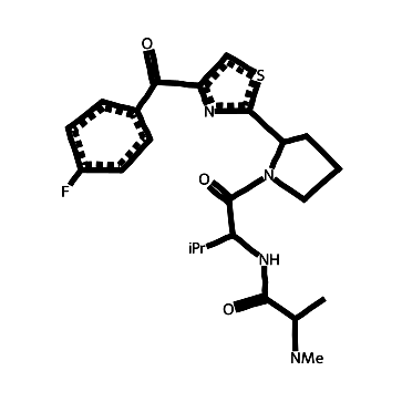 CNC(C)C(=O)NC(C(=O)N1CCCC1c1nc(C(=O)c2ccc(F)cc2)cs1)C(C)C